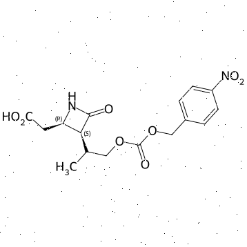 CC(COC(=O)OCc1ccc([N+](=O)[O-])cc1)[C@@H]1C(=O)N[C@@H]1CC(=O)O